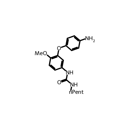 CCCCCNC(=O)Nc1ccc(OC)c(Oc2ccc(N)cc2)c1